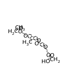 C=C(C)C(=O)OCCCOc1ccc2c(c1)C(C)c1cc(OC(=O)c3ccc(OCCCCOC(=O)C(=C)CO)cc3)ccc1-2